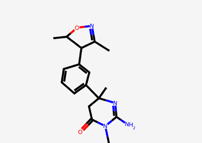 CC1=NOC(C)C1c1cccc(C2(C)CC(=O)N(C)C(N)=N2)c1